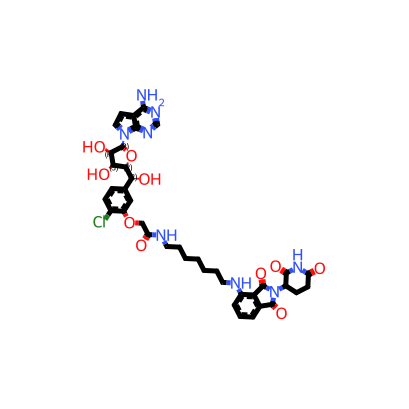 Nc1ncnc2c1ccn2[C@@H]1O[C@H]([C@H](O)c2ccc(Cl)c(OCC(=O)NCCCCCCCNc3cccc4c3C(=O)N(C3CCC(=O)NC3=O)C4=O)c2)[C@@H](O)[C@H]1O